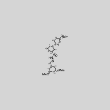 CCCOc1ccc(-c2cncc(C(=O)N/N=C/c3cc(OC)cc(OC)c3)c2)cc1